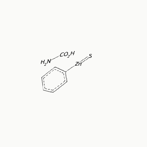 NC(=O)O.[S]=[Zn][c]1ccccc1